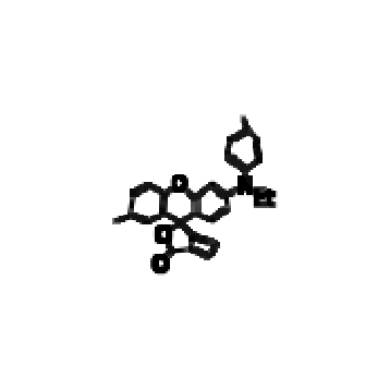 CCN(c1ccc(C)cc1)c1ccc2c(c1)Oc1ccc(C)cc1C21OC(=O)c2ccccc21